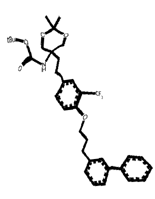 CC(C)(C)OC(=O)NC1(CCc2ccc(OCCCc3cccc(-c4ccccc4)c3)c(C(F)(F)F)c2)COC(C)(C)OC1